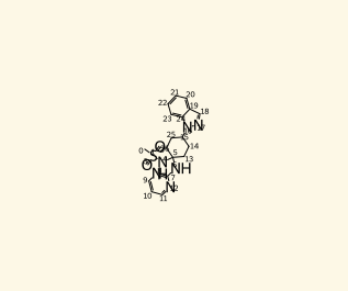 CS(=O)(=O)NC1(Nc2ncccn2)CCC(n2ncc3ccccc32)CC1